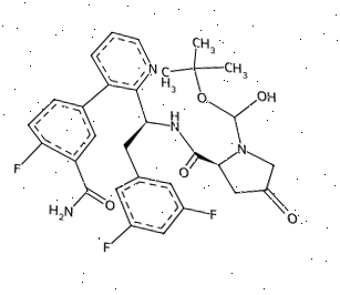 CC(C)(C)OC(O)N1CC(=O)C[C@H]1C(=O)N[C@@H](Cc1cc(F)cc(F)c1)c1ncccc1-c1ccc(F)c(C(N)=O)c1